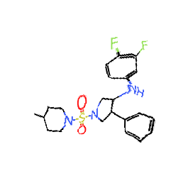 CC1CCN(S(=O)(=O)N2CC(Nc3ccc(F)c(F)c3)C(c3ccccc3)C2)CC1